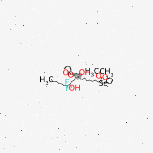 CCCCCCC(F)(F)C(O)CCC1[C@@H](CCCCCCCC([Se]c2ccccc2)C(=O)OC(C)C)[C@@H](O)C[C@H]1O[C@@H]1C=CC=CO1